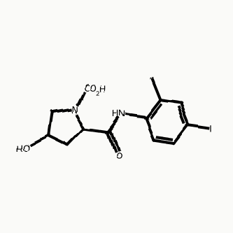 Cc1cc(I)ccc1NC(=O)C1CC(O)CN1C(=O)O